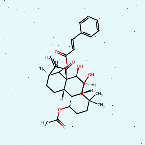 C=C1C(=O)[C@]23[C@H](OC(=O)/C=C/c4ccccc4)[C@H]1CC[C@H]2[C@@]12CO[C@]3(O)[C@@H](O)[C@@H]1C(C)(C)CCC2OC(C)=O